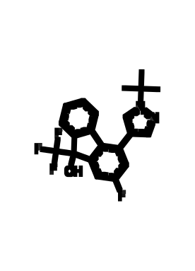 CC(C)(C)n1cc(-c2cc(F)cc3c2-c2ccccc2C3(O)C(F)(F)F)cn1